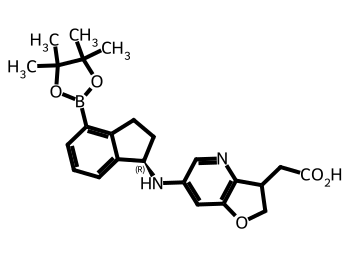 CC1(C)OB(c2cccc3c2CC[C@H]3Nc2cnc3c(c2)OCC3CC(=O)O)OC1(C)C